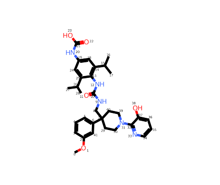 COc1cccc(C2(CNC(=O)Nc3c(C(C)C)cc(NC(=O)O)cc3C(C)C)CCN(c3ncccc3O)CC2)c1